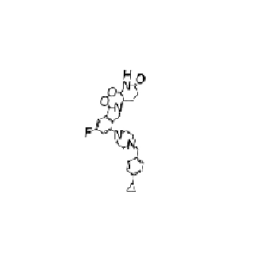 O=C1CCC(N2Cc3c(cc(F)cc3N3CCN(Cc4ccc(C5CC5)cc4)CC3)C2=O)C(=O)N1